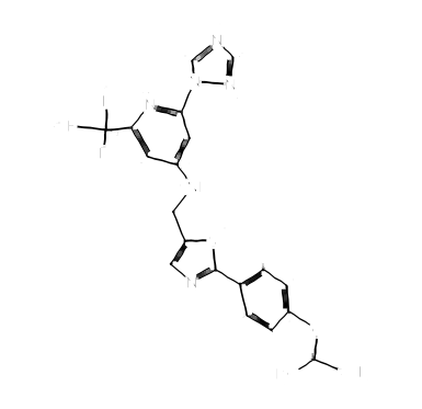 CC(C)Oc1ccc(-c2ncc(CNc3cc(-n4cncn4)nc(C(F)(F)F)c3)s2)cc1